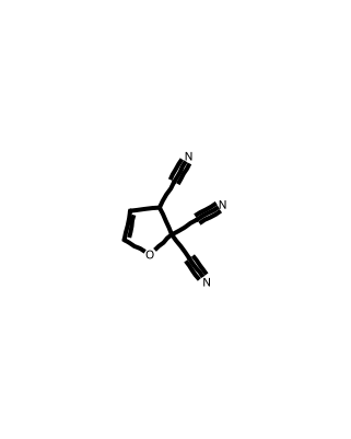 N#CC1C=COC1(C#N)C#N